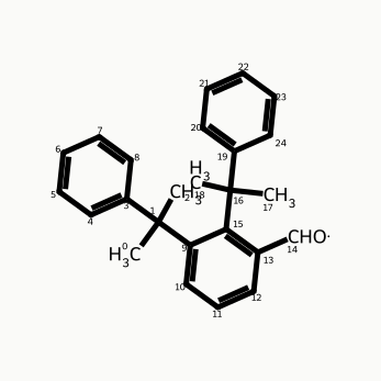 CC(C)(c1ccccc1)c1cccc([C]=O)c1C(C)(C)c1ccccc1